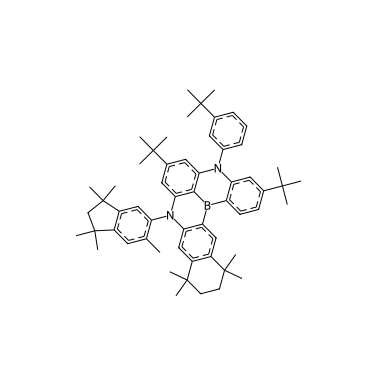 Cc1cc2c(cc1N1c3cc4c(cc3B3c5ccc(C(C)(C)C)cc5N(c5cccc(C(C)(C)C)c5)c5cc(C(C)(C)C)cc1c53)C(C)(C)CCC4(C)C)C(C)(C)CC2(C)C